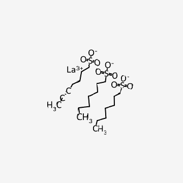 CCCCCCCS(=O)(=O)[O-].CCCCCCCS(=O)(=O)[O-].CCCCCCCS(=O)(=O)[O-].[La+3]